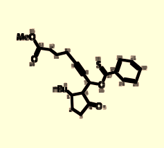 CCCCC1CCC(=O)C1C(C#CCCCC(=O)OC)OC(=S)c1ccccc1